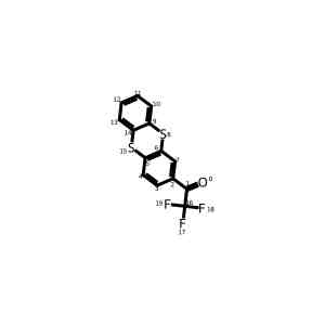 O=C(c1ccc2c(c1)Sc1ccccc1S2)C(F)(F)F